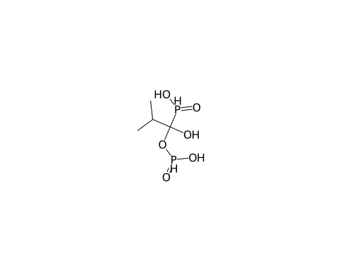 CC(C)C(O)(O[PH](=O)O)[PH](=O)O